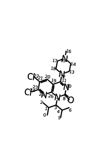 CC(C)C(C(C)C)n1c(=O)nc(N2CCN(C)CC2)c2cc(Cl)c(Cl)nc21